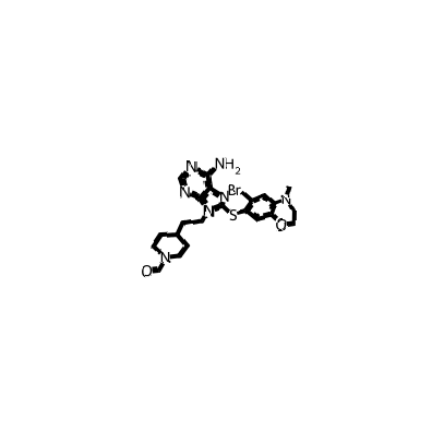 CN1CCOc2cc(Sc3nc4c(N)ncnc4n3CCC3CCN(C=O)CC3)c(Br)cc21